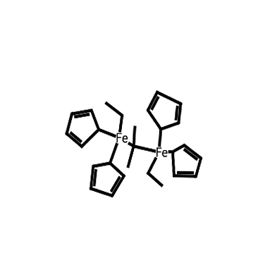 C[CH2][Fe]([CH]1C=CC=C1)([CH]1C=CC=C1)[C](C)(C)[Fe]([CH2]C)([CH]1C=CC=C1)[CH]1C=CC=C1